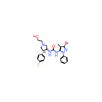 COCCN1C[C@@H](NC(=O)Nc2c(C)c(Br)nn2-c2ccccc2)[C@H](c2ccc(F)cc2)C1